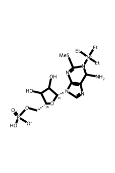 CC[N+](CC)(CC)N1C(SC)=Nc2c(ncn2[C@@H]2O[C@H](COP(=O)([O-])O)C(O)C2O)C1N